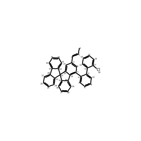 C/C=C/c1cc(-c2ccccc2-c2ccccc2Cl)c2c(c1)C1(c3ccccc3-c3ccccc31)c1ccccc1-2